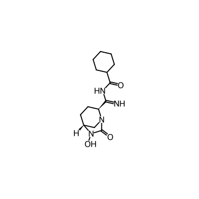 N=C(NC(=O)C1CCCCC1)[C@@H]1CC[C@@H]2CN1C(=O)N2O